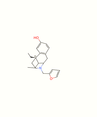 CCC1C2Cc3ccc(O)cc3[C@@]1(CC)CCN2Cc1ccco1